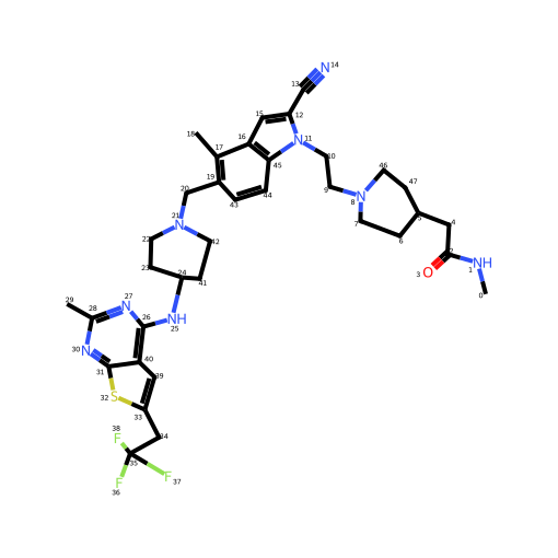 CNC(=O)CC1CCN(CCn2c(C#N)cc3c(C)c(CN4CCC(Nc5nc(C)nc6sc(CC(F)(F)F)cc56)CC4)ccc32)CC1